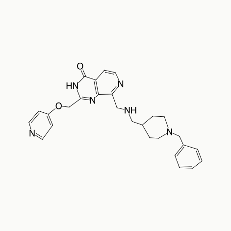 O=c1[nH]c(COc2ccncc2)nc2c(CNCC3CCN(Cc4ccccc4)CC3)nccc12